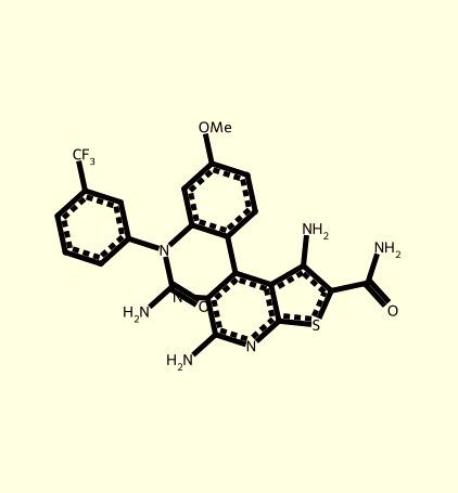 COc1ccc(-c2c(C#N)c(N)nc3sc(C(N)=O)c(N)c23)c(N(C(N)=O)c2cccc(C(F)(F)F)c2)c1